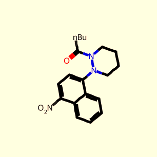 CCCCC(=O)N1CCCCN1c1ccc([N+](=O)[O-])c2ccccc12